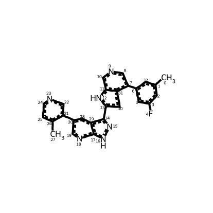 Cc1cc(F)cc(-c2cncc3[nH]c(-c4n[nH]c5ncc(-c6cnccc6C)cc45)cc23)c1